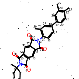 CCC(C)(CC)n1c(=O)c2cc3c(=O)n(-c4ccc(-c5ccc(C)c(C)c5)cc4C)c(=O)c3cc2c1=O